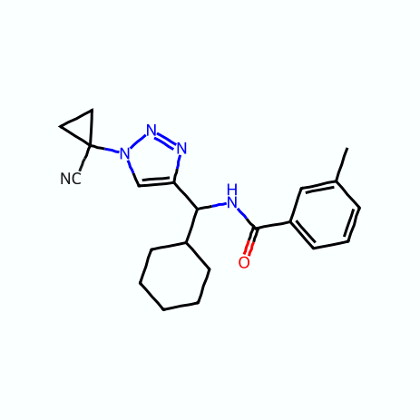 Cc1cccc(C(=O)NC(c2cn(C3(C#N)CC3)nn2)C2CCCCC2)c1